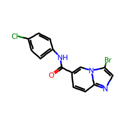 O=C(Nc1ccc(Cl)cc1)c1ccc2ncc(Br)n2c1